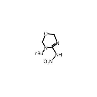 CCCCN1COCN=C1N[N+](=O)[O-]